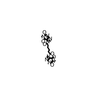 Cn1c(=O)c2c(ncn2C(=O)CCCCC(=O)n2cnc3c2c(=O)n(C)c(=O)n3C)n(C)c1=O